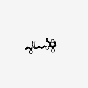 C=CC(=O)NCCCCOc1c(CC)occc1=O